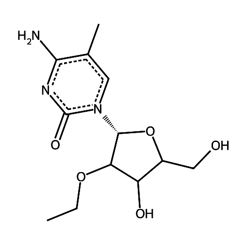 CCOC1C(O)C(CO)O[C@H]1n1cc(C)c(N)nc1=O